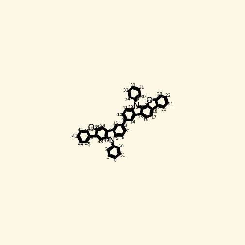 c1ccc(-n2c3ccc(-c4ccc5c(c4)c4ccc6c7ccccc7oc6c4n5-c4ccccc4)cc3c3cc4oc5ccccc5c4cc32)cc1